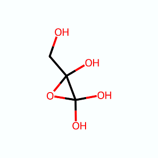 OCC1(O)OC1(O)O